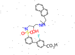 CN(CC(O)CNC(C)(C)Cc1ccc2ccccc2c1)S(=O)(=O)c1cccc(-c2ccc(C(=O)O)cc2F)c1